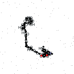 CC/N=c1/cc2oc3cc(NCC)c(C)cc3c(-c3cc(C(=O)NCCOCCOCCNC(=O)OCCC(C)(C)SSCOCCCCOC(=O)NCC#Cc4cn([C@H]5CC(OCN=[N+]=[N-])[C@@H](COP(=O)(O)OP(=O)(O)OP(=O)(O)O)O5)c(=O)[nH]c4=O)ccc3C(=O)O)c-2cc1C